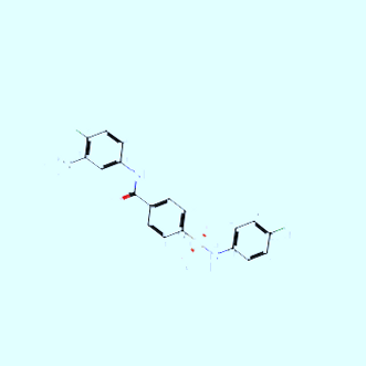 O=C(Nc1ccc(F)c([N+](=O)[O-])c1)c1ccc(S(=O)(=O)Nc2ccc(Cl)cc2)cc1